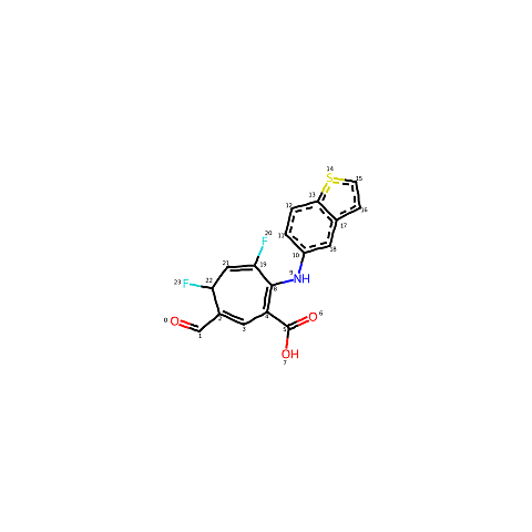 O=CC1=CC(C(=O)O)=C(Nc2ccc3sccc3c2)C(F)=CC1F